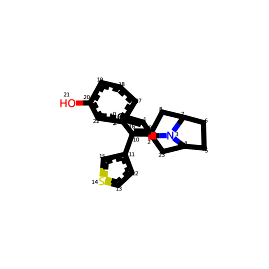 C=CCN1C2CCC1CC(=C(c1ccsc1)c1cccc(O)c1)C2